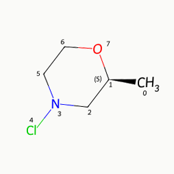 C[C@H]1CN(Cl)CCO1